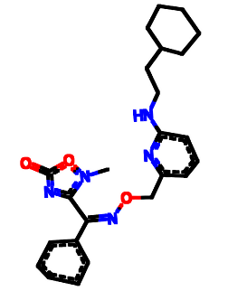 Cn1oc(=O)nc1C(=NOCc1cccc(NCCC2CCCCC2)n1)c1ccccc1